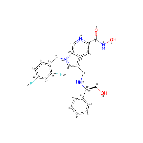 O=C(NO)c1cc2c(CN[C@@H](CO)c3ccccc3)cn(Cc3ccc(F)cc3F)c2cn1